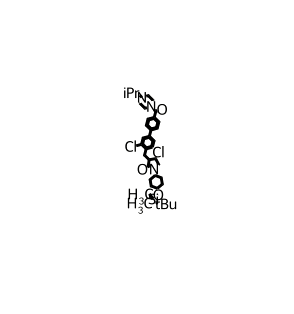 CC(C)N1CCN(C(=O)c2ccc(-c3cc(Cl)c(CC4CCN(C5CCC(O[Si](C)(C)C(C)(C)C)CC5)C4=O)c(Cl)c3)cc2)CC1